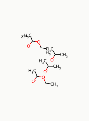 CC(C)[O-].CC(C)[O-].CCOC(C)[O-].CCOC(C)[O-].[Zr+4]